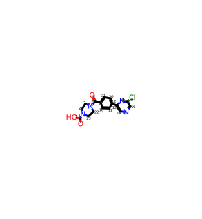 O=C(O)N1CCN(C(=O)c2ccc(-c3cncc(Cl)n3)cc2)CC1